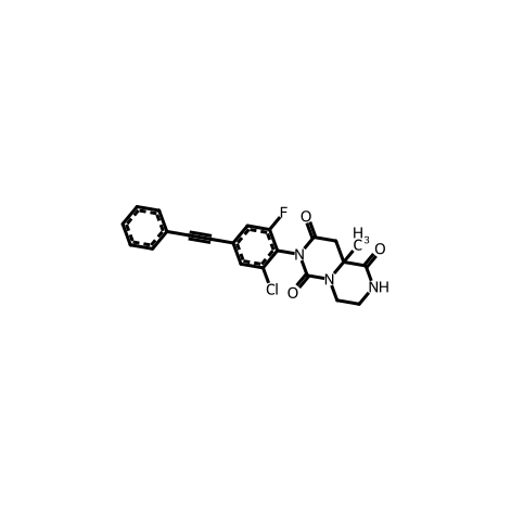 CC12CC(=O)N(c3c(F)cc(C#Cc4ccccc4)cc3Cl)C(=O)N1CCNC2=O